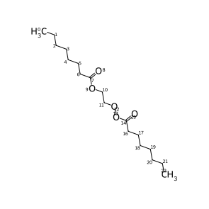 CCCCCCCC(=O)OCCOOC(=O)CCCCCCC